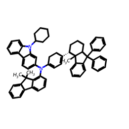 CC1(C)c2ccccc2-c2cccc(N(C3=CC=C([C@@H]4CCCC5C(c6ccccc6)(c6ccccc6)c6ccccc6C54C)CC3)c3ccc4c5ccccc5n(C5CCCCC5)c4c3)c21